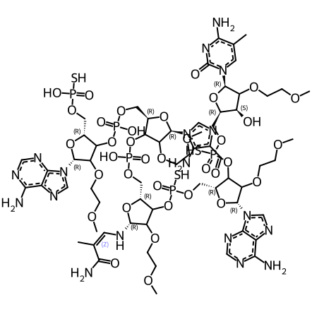 COCCOC1C(OP(=O)(S)OC[C@H]2O[C@@H](n3cnc4c(N)ncnc43)C(OCCOC)C2OP(=O)(S)OC[C@H]2O[C@@H](n3cc(C)c(N)nc3=O)C(OCCOC)[C@H]2O)[C@@H](COP(=O)(O)OC2C(OCCOC)[C@H](n3cnc(C=O)c3N)O[C@@H]2COP(=O)(O)OC2C(OCCOC)[C@H](n3cnc4c(N)ncnc43)O[C@@H]2COP(=O)(O)S)O[C@H]1N/C=C(/C)C(N)=O